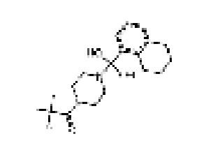 [CH2]C(C)(C)C(=O)N1CCN(C(O)(O)c2cccc3c2CCCC3)CC1